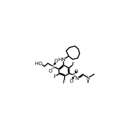 CN(C)C=NS(=O)(=O)c1c(F)c(F)c(S(=O)(=O)CCO)c(NC2CCCCCCC2)c1F